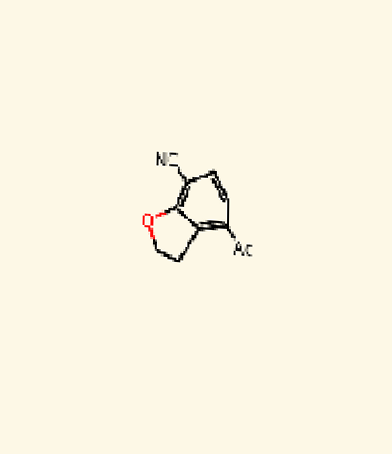 CC(=O)c1ccc(C#N)c2c1CCO2